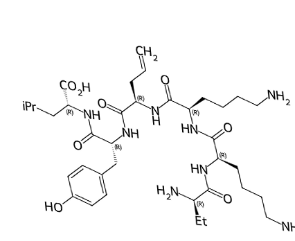 C=CC[C@@H](NC(=O)[C@@H](CCCCN)NC(=O)[C@@H](CCCCN)NC(=O)[C@H](N)CC)C(=O)N[C@H](Cc1ccc(O)cc1)C(=O)N[C@H](CC(C)C)C(=O)O